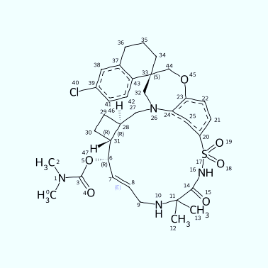 CN(C)C(=O)O[C@H]1/C=C/CNC(C)(C)C(=O)NS(=O)(=O)c2ccc3c(c2)N(C[C@@H]2CC[C@H]21)C[C@@]1(CCCc2cc(Cl)ccc21)CO3